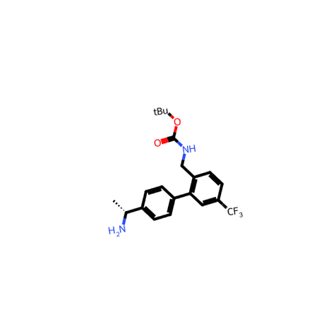 C[C@@H](N)c1ccc(-c2cc(C(F)(F)F)ccc2CNC(=O)OC(C)(C)C)cc1